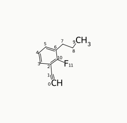 C#Cc1cccc(CCC)c1F